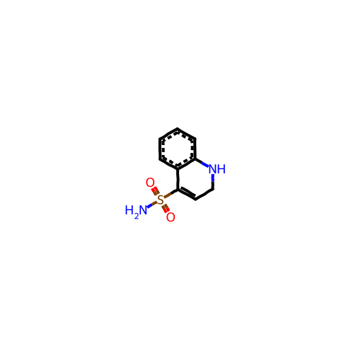 NS(=O)(=O)C1=CCNc2ccccc21